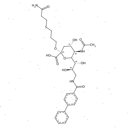 CC(=O)N[C@H]1C([C@H](O)[C@H](O)CNC(=O)c2ccc(-c3ccccc3)cc2)O[C@@](OCCCSCCC(N)=O)(C(=O)O)C[C@@H]1O